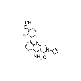 COc1cccc(-c2cccc3c(N)c4c(nc23)CN(C2=CC=C2)C4=O)c1F